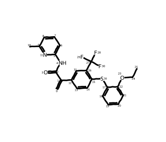 C=C(C(=O)Nc1cccc(C)n1)c1ccc(Sc2ccccc2OCC)c(C(F)(F)F)c1